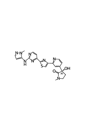 CN1CC[C@@](O)(c2ccnc(-c3csc(-c4ccnc(Nc5ccnn5C)n4)n3)c2)C1=O